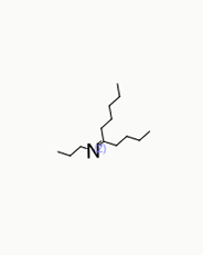 CCCCC/C(CCCC)=N\CCC